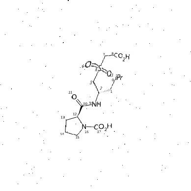 CC(C)C[C@@H](CS(=O)(=O)CC(=O)O)NC(=O)[C@@H]1CCCN1C(=O)O